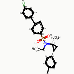 N#Cc1ccc([C@H]2C[C@]2(C(=O)O)N(CC(=O)O)S(=O)(=O)c2ccc(-c3ccc(Cl)cc3)cc2)cc1